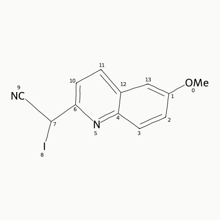 COc1ccc2nc(C(I)C#N)ccc2c1